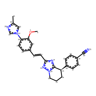 COc1cc(/C=C/c2nc3n(n2)CCC[C@@H]3c2ccc(C#N)cc2)ccc1-n1cnc(C)c1